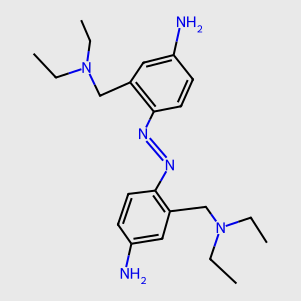 CCN(CC)Cc1cc(N)ccc1/N=N/c1ccc(N)cc1CN(CC)CC